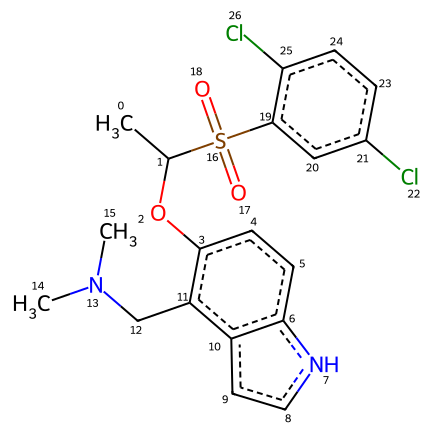 CC(Oc1ccc2[nH]ccc2c1CN(C)C)S(=O)(=O)c1cc(Cl)ccc1Cl